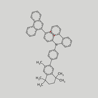 Cc1cc2c(cc1-c1ccc(N(c3ccc(-c4cc5ccccc5c5ccccc45)cc3)c3ccccc3-c3ccccc3)cc1)C(C)(C)CCC2(C)C